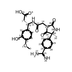 COc1ccc([C@H](CC(=O)O)NC(=O)CN2C(=O)N[C@@](C)(c3ccc(C(=N)N)cc3)C2=O)cc1O